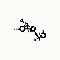 Cc1cccc(C(C)(O)C#Cc2cncc([C@@](O)(c3ccc(C(C)C)cc3)C3(C)CN(C4CC4)C3)c2)n1